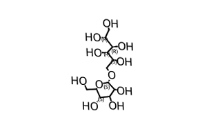 OCC1O[C@H](OC[C@H](O)[C@@H](O)[C@H](O)[C@H](O)CO)C(O)C(O)[C@@H]1O